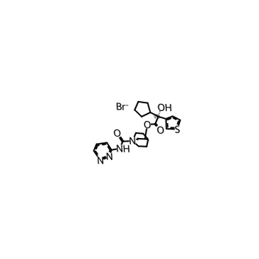 O=C(OC1C[N+]2(C(=O)Nc3cccnn3)CCC1CC2)[C@](O)(c1ccsc1)C1CCCC1.[Br-]